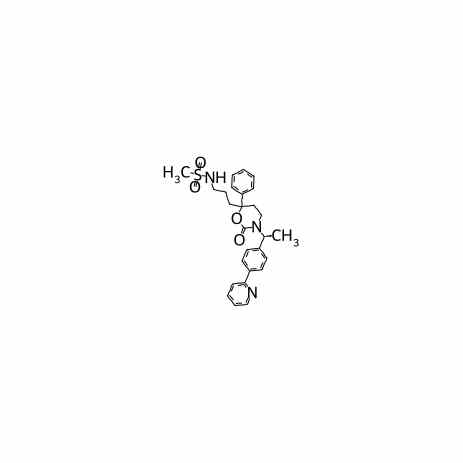 C[C@@H](c1ccc(-c2ccccn2)cc1)N1CCC(CCCNS(C)(=O)=O)(c2ccccc2)OC1=O